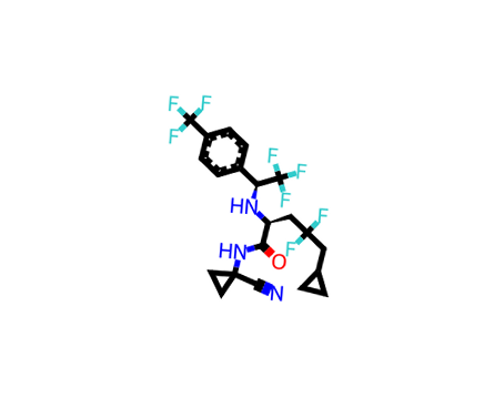 N#CC1(NC(=O)[C@H](CC(F)(F)CC2CC2)N[C@@H](c2ccc(C(F)(F)F)cc2)C(F)(F)F)CC1